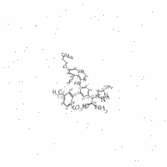 COCCOc1cc(F)c2c(Nc3ccc(C(C(N)=O)n4cc(C(C)C)nn4)cc3)ncnc2c1.Cc1ccc(S(=O)(=O)O)cc1